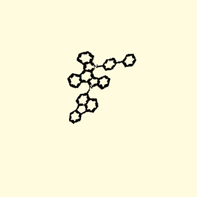 c1ccc(-c2ccc(-n3c4ccccc4c4c5ccccc5c5c(c6ccccc6n5-c5ccc6c7c(cccc57)-c5ccccc5-6)c43)cc2)cc1